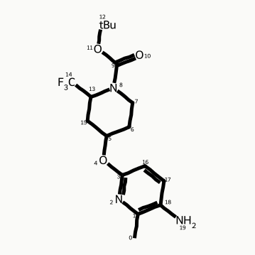 Cc1nc(OC2CCN(C(=O)OC(C)(C)C)C(C(F)(F)F)C2)ccc1N